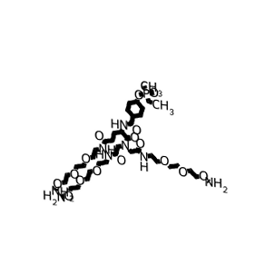 CCP(C)(=O)OC1CCC(C(=O)NC(CCC(=O)NCCOCCOCCON)C(=O)N(CC(=O)NCCOCCOCCON)CC(=O)NCCOCCOCCON)CC1